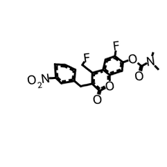 CN(C)C(=O)Oc1cc2oc(=O)c(Cc3cccc([N+](=O)[O-])c3)c(CF)c2cc1F